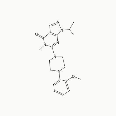 COc1ccccc1N1CCN(c2nc3c(cnn3C(C)C)c(=O)n2C)CC1